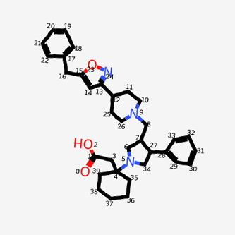 O=C(O)CC1(N2CC(CN3CCC(c4cc(Cc5ccccc5)on4)CC3)C(c3ccccc3)C2)CCCCC1